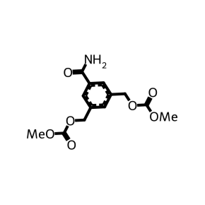 COC(=O)OCc1cc(COC(=O)OC)cc(C(N)=O)c1